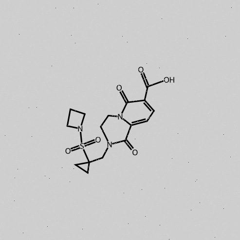 O=C(O)c1ccc2n(c1=O)CCN(CC1(S(=O)(=O)N3CCC3)CC1)C2=O